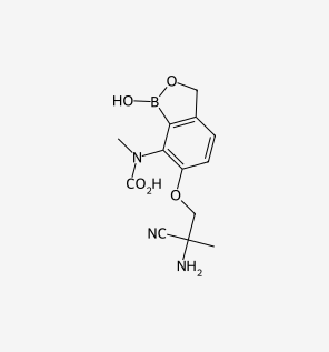 CN(C(=O)O)c1c(OCC(C)(N)C#N)ccc2c1B(O)OC2